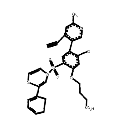 C#Cc1cc(C(F)(F)F)ncc1-c1cc(S(=O)(=O)N2C=CSC(C3=CC=CCC3)=C2)c(OCCCC(=O)O)cc1Cl